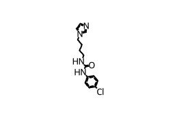 O=C(NCCCCn1ccnc1)Nc1ccc(Cl)cc1